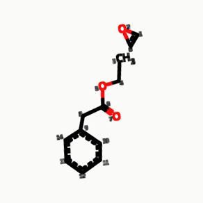 C1=CO1.CCOC(=O)Cc1ccccc1